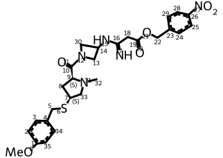 COc1ccc(CS[C@H]2C[C@@H](C(=O)N3CC(NC(=N)CC(=O)OCc4ccc([N+](=O)[O-])cc4)C3)N(C)C2)cc1